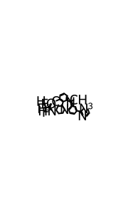 Cc1cccc2c1C1CC(NC(=O)C(F)(F)F)CCN1c1ccc(-c3ncccn3)cc1N2C